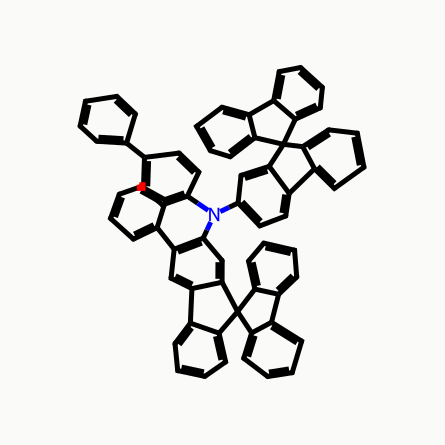 c1ccc(-c2ccc(N(c3ccc4c(c3)C3(c5ccccc5-c5ccccc53)c3ccccc3-4)c3cc4c(cc3-c3ccccc3)-c3ccccc3C43c4ccccc4-c4ccccc43)cc2)cc1